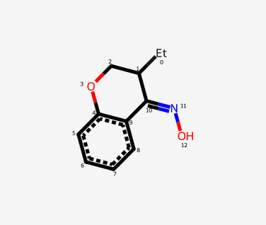 CCC1COc2ccccc2C1=NO